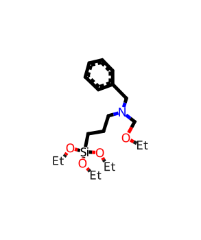 CCOCN(CCC[Si](OCC)(OCC)OCC)Cc1ccccc1